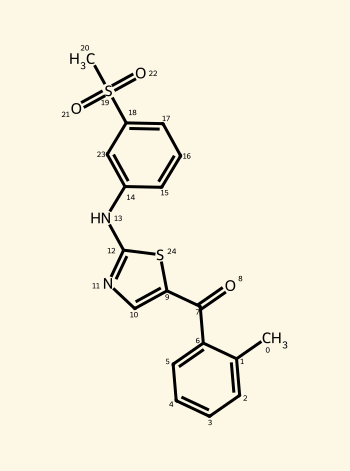 Cc1ccccc1C(=O)c1cnc(Nc2cccc(S(C)(=O)=O)c2)s1